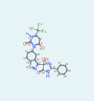 Cn1c(C(F)(F)F)cc(=O)n(-c2ccc3snc(C4(O)N=C(c5ccccc5)NC4=O)c3c2)c1=O